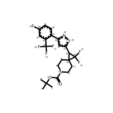 CC(C)(C)OC(=O)N1CCC2(CC1)C(c1cc(-c3ccc(F)cc3C(F)(F)F)ns1)C2(F)F